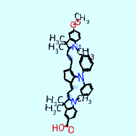 COOc1ccc2c(c1)C(C)(C)C(/C=C/C1=C(N(c3ccccc3)c3ccccc3)C(=C/C=C3\N(C)c4ccc(C(=O)O)cc4C3(C)C)/CC1)=[N+]2C